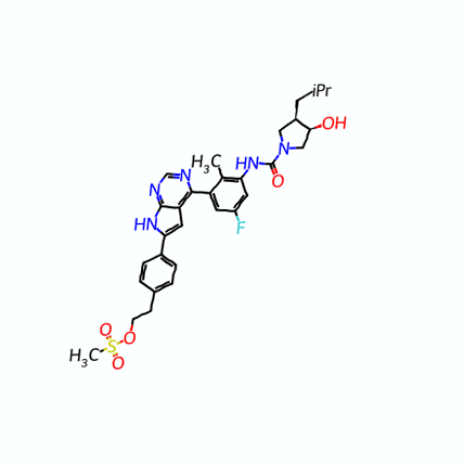 Cc1c(NC(=O)N2C[C@@H](CC(C)C)[C@@H](O)C2)cc(F)cc1-c1ncnc2[nH]c(-c3ccc(CCOS(C)(=O)=O)cc3)cc12